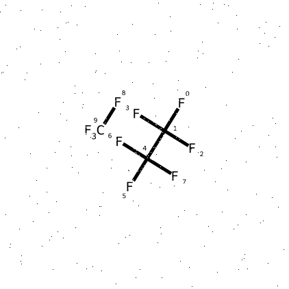 FC(F)(F)C(F)(F)F.FC(F)(F)F